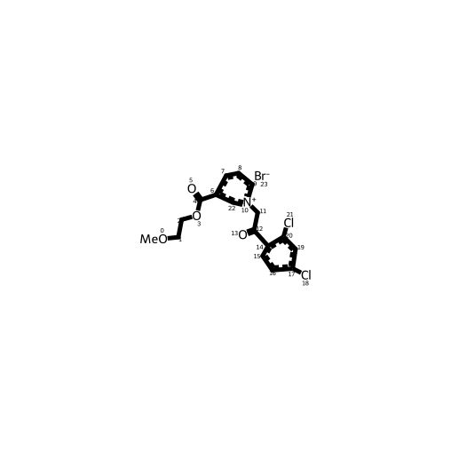 COCCOC(=O)c1ccc[n+](CC(=O)c2ccc(Cl)cc2Cl)c1.[Br-]